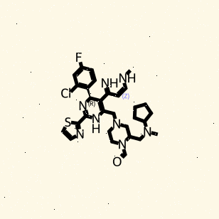 CN/C=C\C(=N)C1=C(CN2CCN(C=O)C(CN(C)C3CCCC3)C2)NC(c2nccs2)=N[C@H]1c1ccc(F)cc1Cl